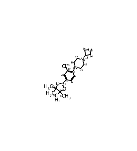 CC1(C)OB(c2ccc(N3CCN(C4COC4)CC3)c(Cl)c2)OC1(C)C